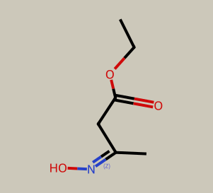 CCOC(=O)C/C(C)=N\O